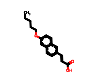 CCCCCOc1ccc2cc(/C=C/C(=O)O)ccc2c1